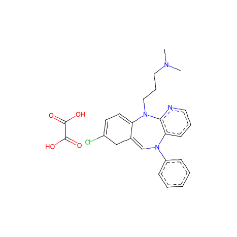 CN(C)CCCN1C2=CC=C(Cl)CC2=CN(c2ccccc2)c2cccnc21.O=C(O)C(=O)O